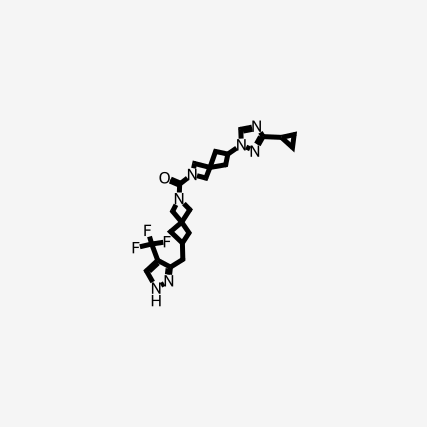 O=C(N1CC2(CC(Cc3n[nH]cc3C(F)(F)F)C2)C1)N1CC2(CC(n3cnc(C4CC4)n3)C2)C1